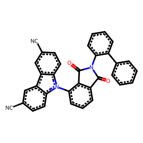 N#Cc1ccc2c(c1)c1cc(C#N)ccc1n2-c1cccc2c1C(=O)N(c1ccccc1-c1ccccc1)C2=O